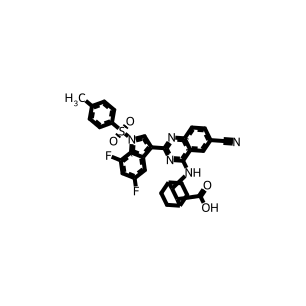 Cc1ccc(S(=O)(=O)n2cc(-c3nc(NC4C5CCC(CC5)C4C(=O)O)c4cc(C#N)ccc4n3)c3cc(F)cc(F)c32)cc1